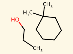 CC1(C)CCCCC1.CCCO